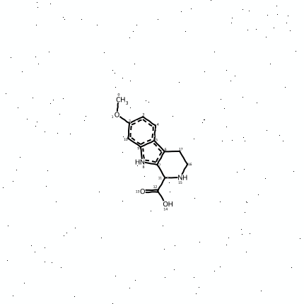 COc1ccc2c3c([nH]c2c1)C(C(=O)O)NCC3